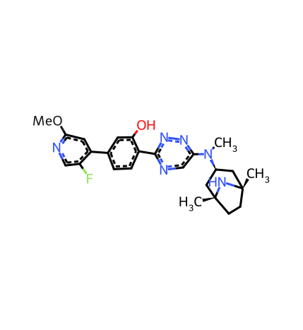 COc1cc(-c2ccc(-c3ncc(N(C)[C@H]4C[C@]5(C)CC[C@](C)(C4)N5)nn3)c(O)c2)c(F)cn1